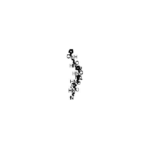 CN(C)CCCNC(=O)c1cc(NC(=O)c2nc(NC(=O)c3cc(NC(=O)CCCNC(=O)C4=CC=CC4)cn3C)cn2C)cn1C